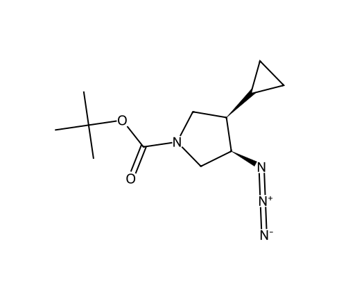 CC(C)(C)OC(=O)N1C[C@H](N=[N+]=[N-])[C@H](C2CC2)C1